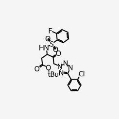 CC(C)(C)OC(=O)CC(NS(=O)(=O)c1ccccc1F)C(=O)Cn1nnc(-c2ccccc2Cl)n1